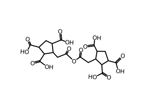 O=C(CC1C(C(=O)O)CC(C(=O)O)C1C(=O)O)OC(=O)CC1C(C(=O)O)CC(C(=O)O)C1C(=O)O